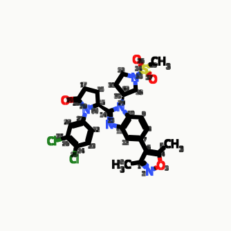 Cc1noc(C)c1-c1ccc2c(c1)nc([C@@H]1CCC(=O)N1c1ccc(Cl)c(Cl)c1)n2[C@@H]1CCN(S(C)(=O)=O)C1